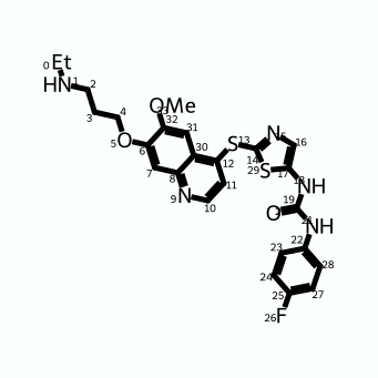 CCNCCCOc1cc2nccc(Sc3ncc(NC(=O)Nc4ccc(F)cc4)s3)c2cc1OC